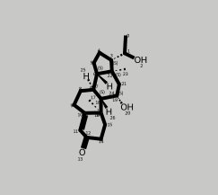 CC(O)[C@H]1CC[C@H]2[C@@H]3CCC4=CC(=O)CC[C@]4(C)[C@H]3[C@@H](O)C[C@]12C